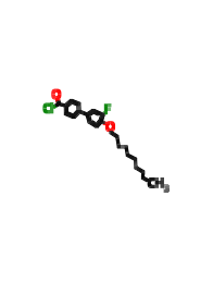 CCCCCCCCCCOc1ccc(-c2ccc(C(=O)Cl)cc2)cc1F